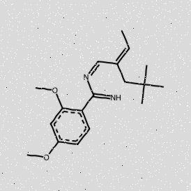 C/C=C(\C=N/C(=N)c1ccc(OC)cc1OC)CC(C)(C)C